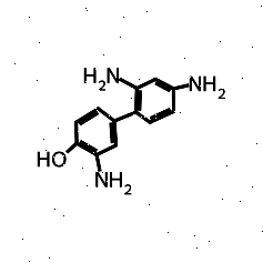 Nc1ccc(-c2ccc(O)c(N)c2)c(N)c1